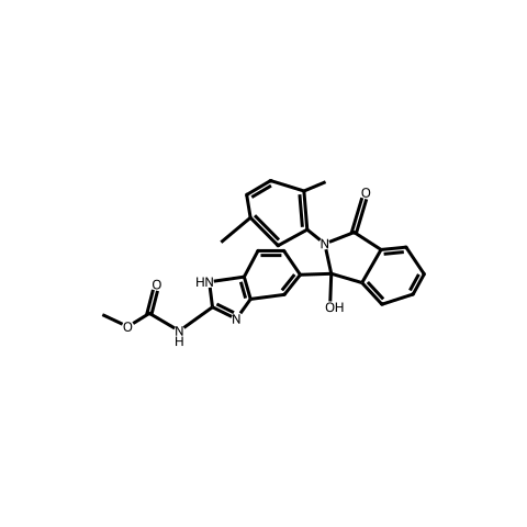 COC(=O)Nc1nc2cc(C3(O)c4ccccc4C(=O)N3c3cc(C)ccc3C)ccc2[nH]1